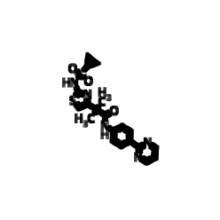 CC(C)(C(=O)Nc1ccc(-c2ncccn2)cc1)c1csc(NS(=O)(=O)C2CC2)n1